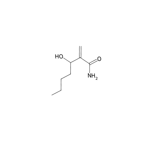 C=C(C(N)=O)C(O)CCCC